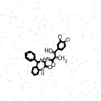 C[C@@H](C(=O)N[C@H]1N=C(c2ccccc2)c2ccccc2NC1=O)[C@@H](O)c1ccc(Cl)c(Cl)c1